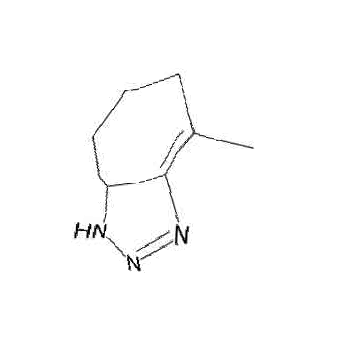 CC1=C2N=NNC2CCC1